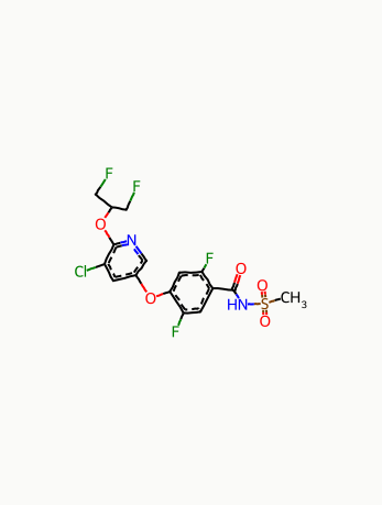 CS(=O)(=O)NC(=O)c1cc(F)c(Oc2cnc(OC(CF)CF)c(Cl)c2)cc1F